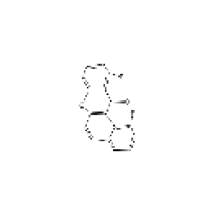 O=c1c2c(F)cccc2oc2ccc3cccc(F)c3c12